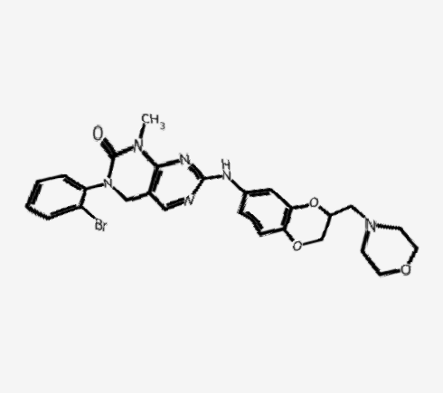 CN1C(=O)N(c2ccccc2Br)Cc2cnc(Nc3ccc4c(c3)OC(CN3CCOCC3)CO4)nc21